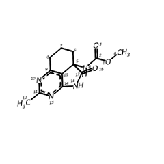 COC(=O)NC12CCCc3nc(C)nc(c31)NC2=O